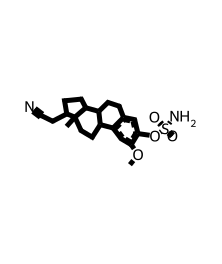 COc1cc2c(cc1OS(N)(=O)=O)CCC1C2CCC2(C)C(CC#N)CCC12